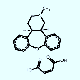 CN1CC[C@@H]2c3ccccc3Oc3ccccc3[C@H]2C1.O=C(O)/C=C\C(=O)O